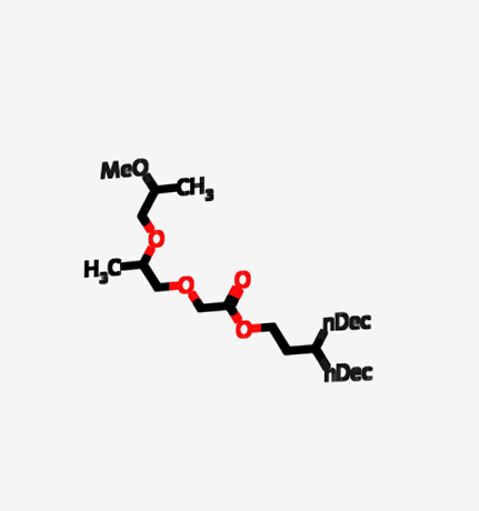 CCCCCCCCCCC(CCCCCCCCCC)CCOC(=O)COCC(C)OCC(C)OC